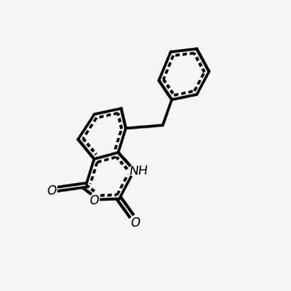 O=c1[nH]c2c(Cc3ccccc3)cccc2c(=O)o1